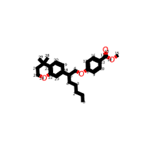 CCCCCC(COc1ccc(C(=O)OC)cc1)c1ccc2c(c1)OCCC2(C)C